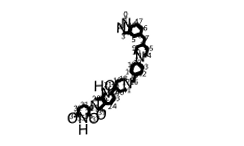 Cn1ncc2cc(CC3CCN(c4ccc(CN5CCC(O)(c6ccc7c(n6)CN(C6CCC(=O)NC6=O)C7=O)CC5)cc4)CC3)ccc21